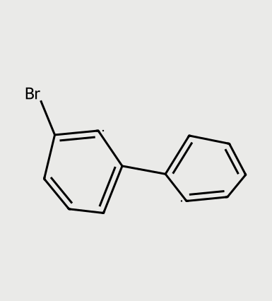 Brc1[c]c(-c2[c]cccc2)ccc1